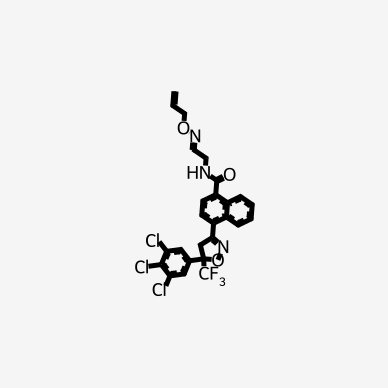 C=CCON=CCNC(=O)c1ccc(C2=NOC(c3cc(Cl)c(Cl)c(Cl)c3)(C(F)(F)F)C2)c2ccccc12